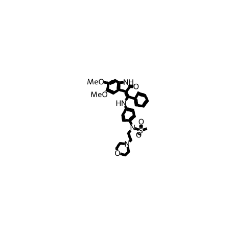 COc1cc2c(cc1OC)C(=C(Nc1ccc(N(CCN3CCOCC3)S(C)(=O)=O)cc1)c1ccccc1)C(=O)N2